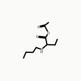 CCCCNC(CC)C(=O)OC(C)=O